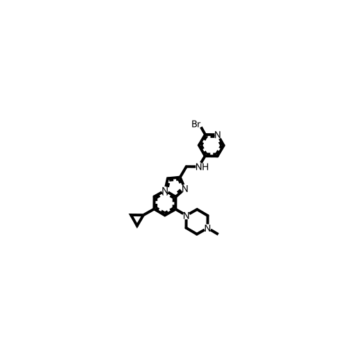 CN1CCN(c2cc(C3CC3)cn3cc(CNc4ccnc(Br)c4)nc23)CC1